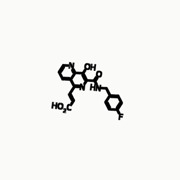 O=C(O)C=Cc1nc(C(=O)NCc2ccc(F)cc2)c(O)c2ncccc12